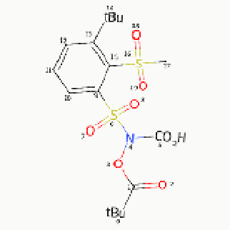 CC(C)(C)C(=O)ON(C(=O)O)S(=O)(=O)c1cccc(C(C)(C)C)c1S(C)(=O)=O